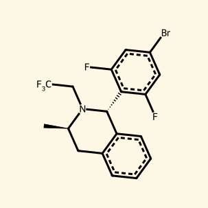 C[C@@H]1Cc2ccccc2[C@@H](c2c(F)cc(Br)cc2F)N1CC(F)(F)F